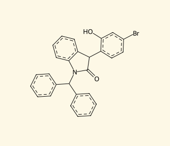 O=C1C(c2ccc(Br)cc2O)c2ccccc2N1C(c1ccccc1)c1ccccc1